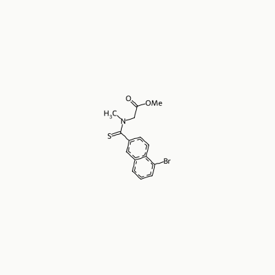 COC(=O)CN(C)C(=S)c1ccc2c(Br)cccc2c1